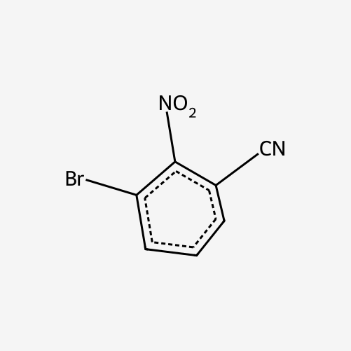 N#Cc1cccc(Br)c1[N+](=O)[O-]